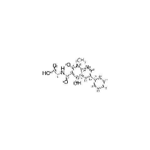 Cn1c(=O)c(C(=O)NCC(=O)O)c(O)c2cc(-c3ccccc3)cnc21